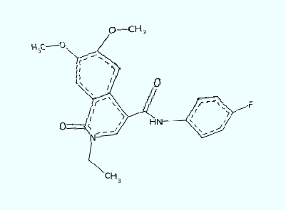 CCn1cc(C(=O)Nc2ccc(F)cc2)c2cc(OC)c(OC)cc2c1=O